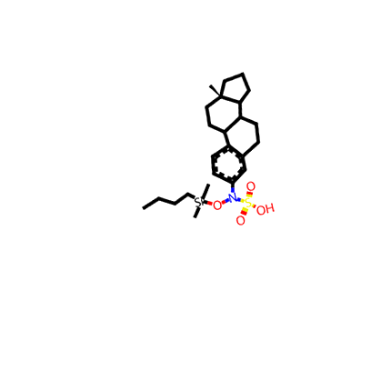 CCCC[Si](C)(C)ON(c1ccc2c(c1)CCC1C2CC[C@]2(C)CCCC12)S(=O)(=O)O